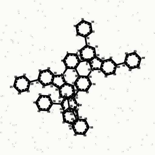 FC(F)(F)c1cccc(-n2c3ccc(-c4ccccc4)cc3c3cc(-c4ccccc4)ccc32)c1-c1cc(-c2nc(-c3ccccc3)nc(-c3ccccc3)n2)ccc1-n1c2ccc(-c3ccccc3)cc2c2cc(-c3ccccc3)ccc21